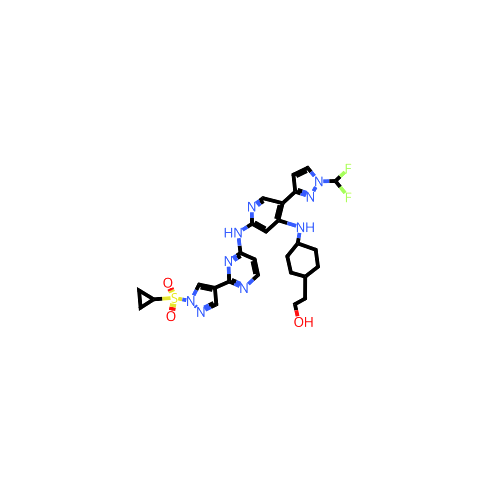 O=S(=O)(C1CC1)n1cc(-c2nccc(Nc3cc(NC4CCC(CCO)CC4)c(-c4ccn(C(F)F)n4)cn3)n2)cn1